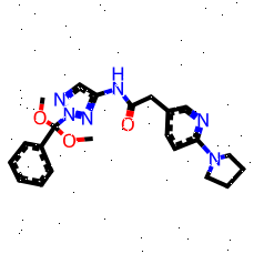 COC(OC)(c1ccccc1)n1ncc(NC(=O)Cc2ccc(N3CCCC3)nc2)n1